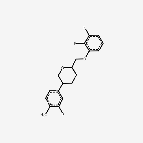 Cc1ccc(C2CCC(COc3cccc(F)c3F)OC2)cc1F